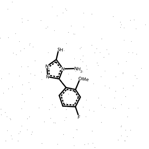 COc1cc(F)ccc1-c1nnc(S)n1N